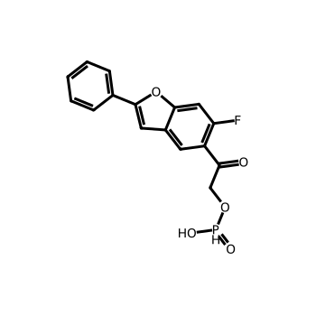 O=C(CO[PH](=O)O)c1cc2cc(-c3ccccc3)oc2cc1F